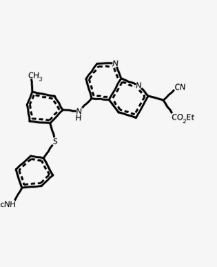 CCOC(=O)C(C#N)c1ccc2c(Nc3cc(C)ccc3Sc3ccc(NC(C)=O)cc3)ccnc2n1